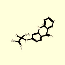 CC(Cl)(Oc1ccc2c(=O)c3ccccc3oc2c1)C(=O)O